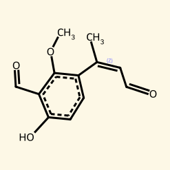 COc1c(/C(C)=C\C=O)ccc(O)c1C=O